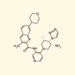 C[C@H]1CN(c2ccncc2NC(=O)c2nc3cc(C4CCOCC4)ccc3cc2N)C[C@@H](N)[C@H]1n1ccnn1